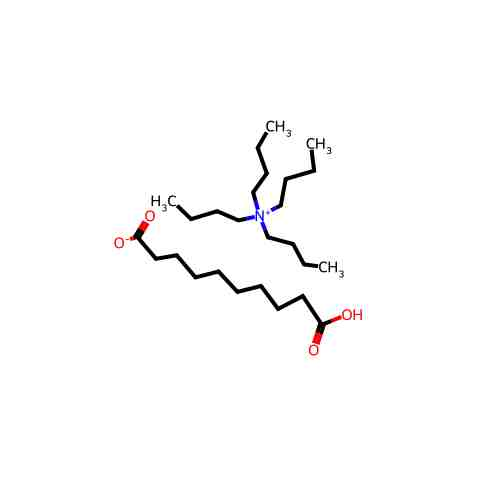 CCCC[N+](CCCC)(CCCC)CCCC.O=C([O-])CCCCCCCCC(=O)O